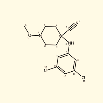 CON1CCC(C#N)(Nc2cc(Cl)cc(Cl)c2)CC1